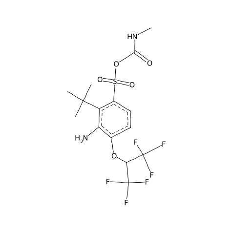 CNC(=O)OS(=O)(=O)c1ccc(OC(C(F)(F)F)C(F)(F)F)c(N)c1C(C)(C)C